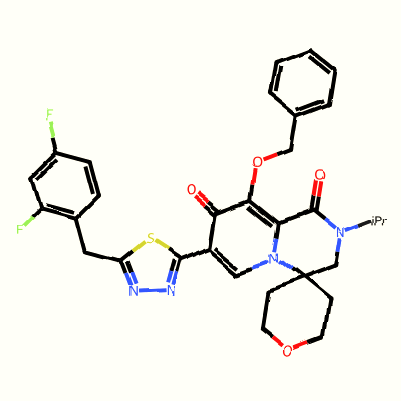 CC(C)N1CC2(CCOCC2)n2cc(-c3nnc(Cc4ccc(F)cc4F)s3)c(=O)c(OCc3ccccc3)c2C1=O